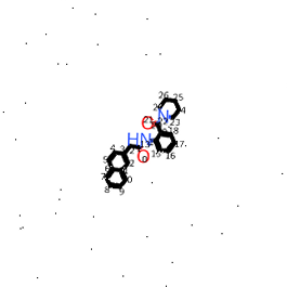 O=C(Cc1ccc2ccccc2c1)Nc1ccccc1C(=O)N1CCCCC1